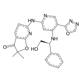 CC1(C)Oc2nc(Nc3cc(N[C@H](CO)c4ccccc4)c(-c4nnco4)cn3)ccc2C1=O